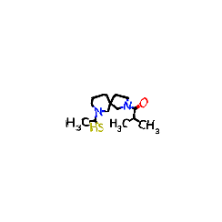 CC(C)C(=O)N1CCC2(CCCN(C(C)S)C2)C1